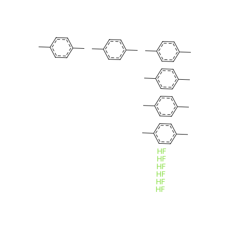 Cc1ccc(C)cc1.Cc1ccc(C)cc1.Cc1ccc(C)cc1.Cc1ccc(C)cc1.Cc1ccc(C)cc1.Cc1ccc(C)cc1.F.F.F.F.F.F